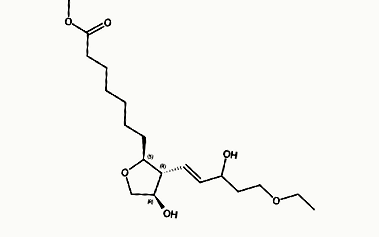 CCOCCC(O)C=C[C@H]1[C@H](CCCCCCC(=O)OC)OC[C@@H]1O